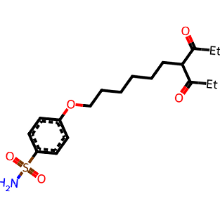 CCC(=O)C(CCCCCCOc1ccc(S(N)(=O)=O)cc1)C(=O)CC